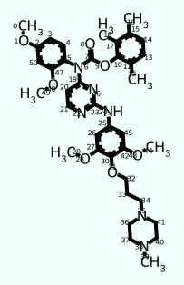 COc1ccc(N(C(=O)Oc2c(C)ccc(C)c2C)c2ccnc(Nc3cc(OC)c(OCCCN4CCN(C)CC4)c(OC)c3)n2)c(OC)c1